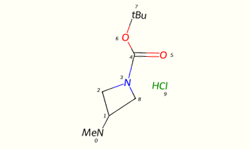 CNC1CN(C(=O)OC(C)(C)C)C1.Cl